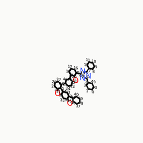 c1ccc(-c2nc(-c3ccccc3)nc(-c3cccc4c3oc3ccc(-c5cccc6oc7cc8oc9ccccc9c8cc7c56)cc34)n2)cc1